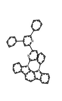 c1ccc(-c2cc(-c3ccccc3)nc(-c3cccc(-n4c5ccccc5c5ccc6c7ccccc7n(-c7ccccc7)c6c54)n3)c2)cc1